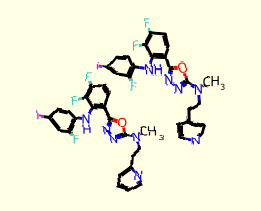 CN(CCc1ccccn1)c1nnc(-c2ccc(F)c(F)c2Nc2ccc(I)cc2F)o1.CN(CCc1ccncc1)c1nnc(-c2ccc(F)c(F)c2Nc2ccc(I)cc2F)o1